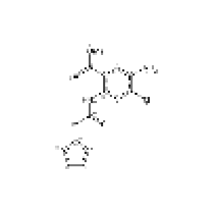 COC(=O)c1cc([N+](=O)[O-])c(Cl)cc1NC(=O)Cc1cccs1